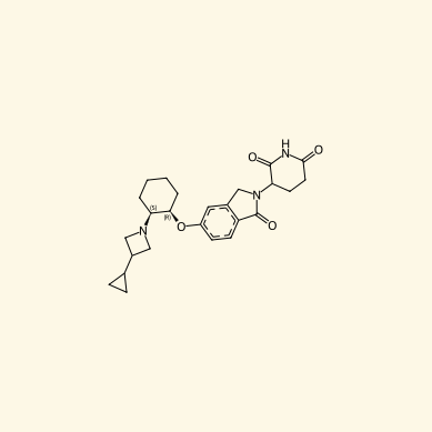 O=C1CCC(N2Cc3cc(O[C@@H]4CCCC[C@@H]4N4CC(C5CC5)C4)ccc3C2=O)C(=O)N1